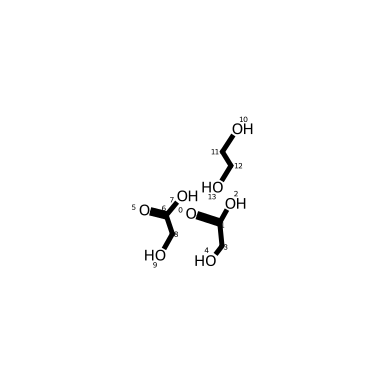 O=C(O)CO.O=C(O)CO.OCCO